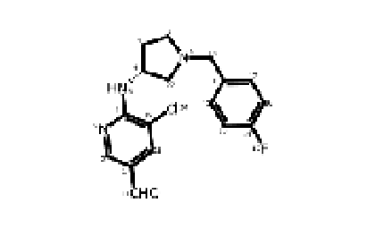 O=Cc1cnc(N[C@@H]2CCN(Cc3ccc(F)cc3)C2)c(Cl)c1